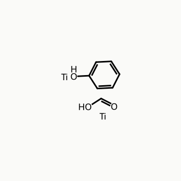 O=CO.Oc1ccccc1.[Ti].[Ti]